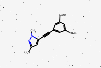 COc1cc(C#Cc2cc([N+](=O)[O-])nn2C)cc(OC)c1